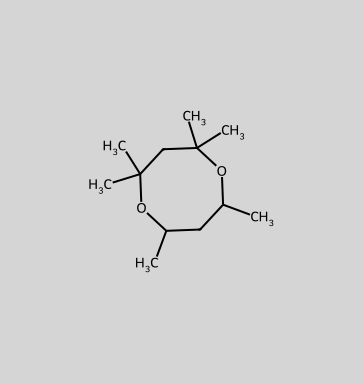 CC1CC(C)OC(C)(C)CC(C)(C)O1